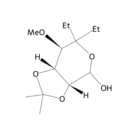 CCC1(CC)OC(O)[C@@H]2OC(C)(C)O[C@@H]2[C@H]1OC